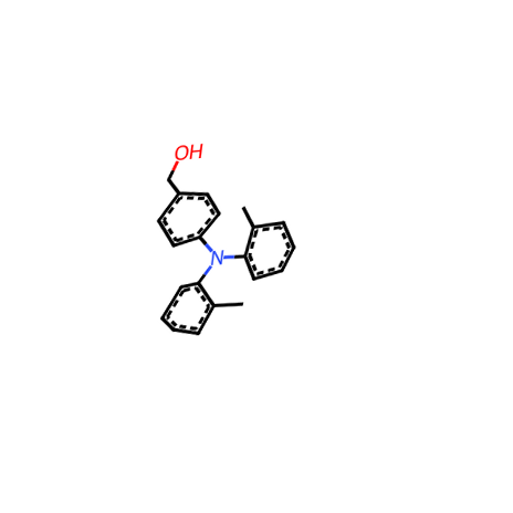 Cc1ccccc1N(c1ccc(CO)cc1)c1ccccc1C